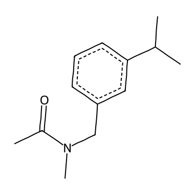 CC(=O)N(C)Cc1cccc(C(C)C)c1